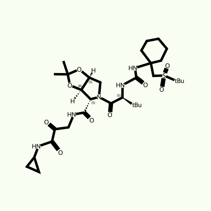 CC1(C)O[C@H]2[C@H](CN(C(=O)[C@@H](NC(=O)NC3(CS(=O)(=O)C(C)(C)C)CCCCC3)C(C)(C)C)[C@@H]2C(=O)NCC(=O)C(=O)NC2CC2)O1